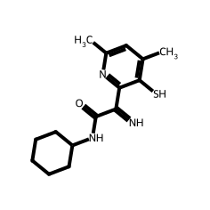 Cc1cc(C)c(S)c(C(=N)C(=O)NC2CCCCC2)n1